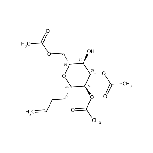 C=CCC[C@@H]1O[C@H](COC(C)=O)[C@@H](O)[C@H](OC(C)=O)[C@H]1OC(C)=O